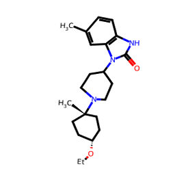 CCO[C@H]1CC[C@@](C)(N2CCC(n3c(=O)[nH]c4ccc(C)cc43)CC2)CC1